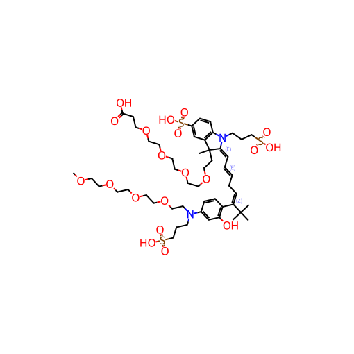 COCCOCCOCCOCCN(CCCS(=O)(=O)O)c1ccc(/C(=C\C/C=C/C=C2/N(CCCS(=O)(=O)O)c3ccc(S(=O)(=O)O)cc3C2(C)CCOCCOCCOCCOCCC(=O)O)C(C)(C)C)c(O)c1